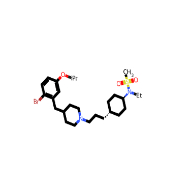 CCN([C@H]1CC[C@H](CCCN2CCC(Cc3cc(OC(C)C)ccc3Br)CC2)CC1)S(C)(=O)=O